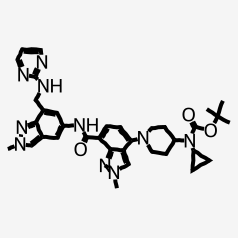 Cn1cc2cc(NC(=O)c3ccc(N4CCC(N(C(=O)OC(C)(C)C)C5CC5)CC4)c4cn(C)nc34)cc(CNc3ncccn3)c2n1